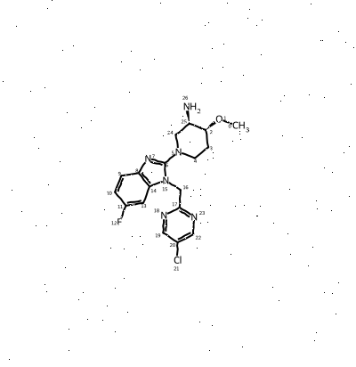 CO[C@H]1CCN(c2nc3ccc(F)cc3n2Cc2ncc(Cl)cn2)C[C@H]1N